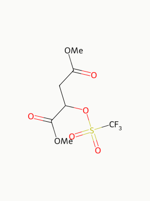 COC(=O)CC(OS(=O)(=O)C(F)(F)F)C(=O)OC